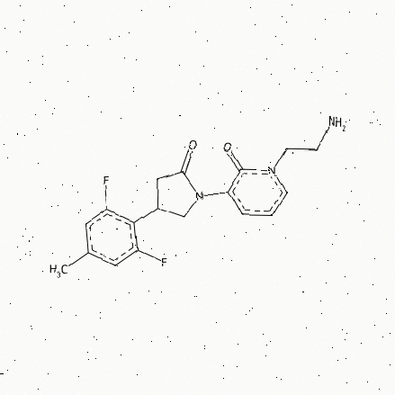 Cc1cc(F)c(C2CC(=O)N(c3cccn(CCN)c3=O)C2)c(F)c1